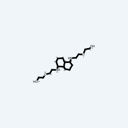 OCCOCCNC1CCCC2C(NCCOCCO)CCCC12